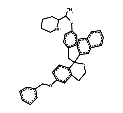 CC(Oc1ccc(CC2(c3ccc4ccccc4c3)NCCc3cc(OCc4ccccc4)ccc32)cc1)C1CCCCN1